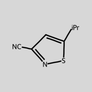 CC(C)c1cc(C#N)ns1